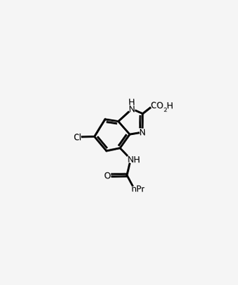 CCCC(=O)Nc1cc(Cl)cc2[nH]c(C(=O)O)nc12